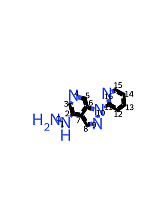 NNc1cncc2c1cnn2-c1ccccn1